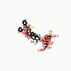 B[C@@H]1C2CC[C@]3(B)C(CC=C4C5C[C@@](B)(S)[C@@H](OC(=O)c6ccccc6)[C@H](OC(=O)c6ccccc6)[C@]5(CO)[C@H](O)[C@H](O)[C@]43B)[C@@]2(B)CC[C@@H]1OC(OC(C)C(=O)O)C(OC1OC(CO)C(O)C(O)C1O)C(OC1OCC(O)C(O)C1O)C(C)O